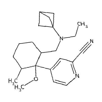 CCN(CC1CCCC(C)C1(OC)c1ccnc(C#N)c1)C12CC(C1)C2